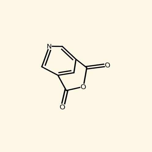 O=C1OC(=O)c2cncc1c2